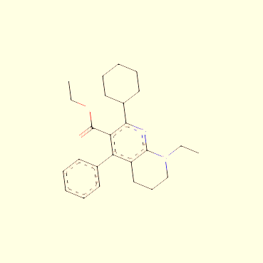 CCOC(=O)c1c(C2CCCCC2)nc2c(c1-c1ccccc1)CCCN2CC